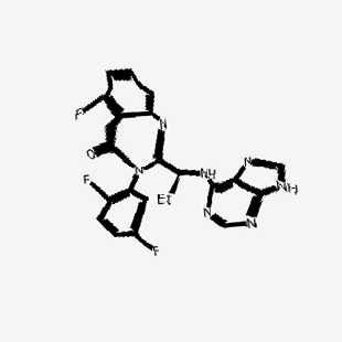 CC[C@H](Nc1ncnc2[nH]cnc12)c1nc2cccc(F)c2c(=O)n1-c1cc(F)ccc1F